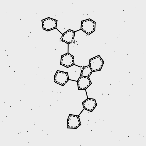 c1ccc(-c2cccc(-c3cc(-c4ccccc4)c4c(c3)c3ccccc3n4-c3cccc(-c4nc(-c5ccccc5)cc(-c5ccccc5)n4)c3)c2)cc1